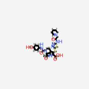 O=C(CN1C=CC=CC1)Nc1nnc(SC2=C(C(=O)O)N3C(=O)[C@@H]4[C@H]3C2CCN4C(=O)Nc2ccc(O)cc2)s1